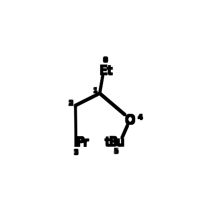 CCC(CC(C)C)OC(C)(C)C